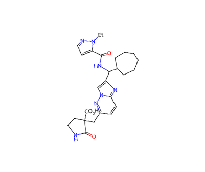 CCn1nccc1C(=O)NC(c1cn2nc(CC3(C(=O)O)CCNC3=O)ccc2n1)C1CCCCCC1